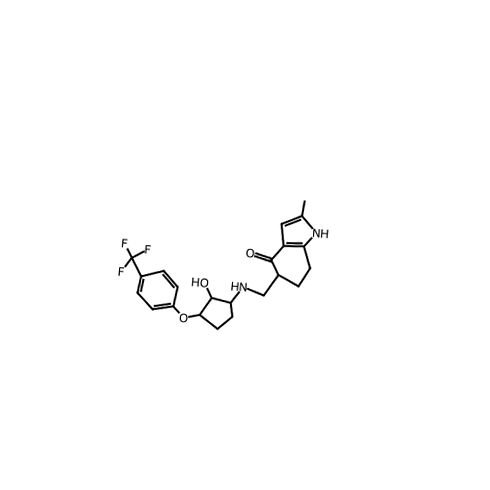 Cc1cc2c([nH]1)CCC(CNC1CCC(Oc3ccc(C(F)(F)F)cc3)C1O)C2=O